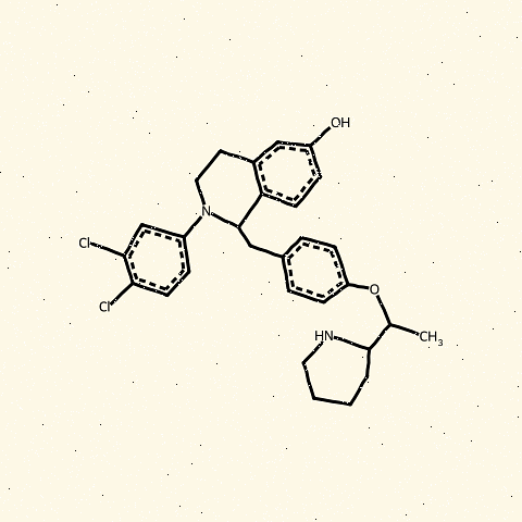 CC(Oc1ccc(CC2c3ccc(O)cc3CCN2c2ccc(Cl)c(Cl)c2)cc1)C1CCCCN1